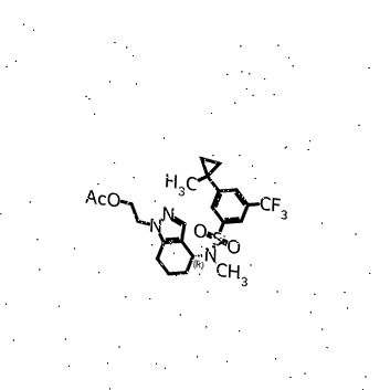 CC(=O)OCCn1ncc2c1CCC[C@H]2N(C)S(=O)(=O)c1cc(C(F)(F)F)cc(C2(C)CC2)c1